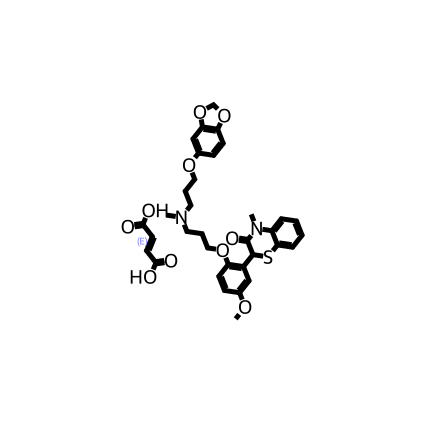 COc1ccc(OCCCN(C)CCCOc2ccc3c(c2)OCO3)c(C2Sc3ccccc3N(C)C2=O)c1.O=C(O)/C=C/C(=O)O